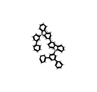 C1=CCCC(c2cc(-c3ccccc3)cc(-n3c4ccccc4c4cc(-c5ccc6c7ccccc7n(-c7cccc(-c8ccccc8)c7)c6c5)ccc43)c2)=C1